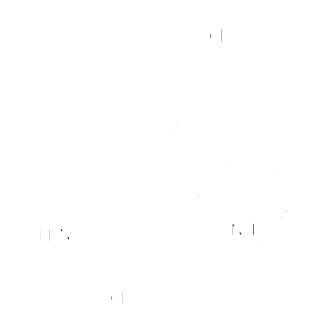 NC1=CC(Cl)C(N)(c2cc(Cl)ccc2Cl)C=C1Cl